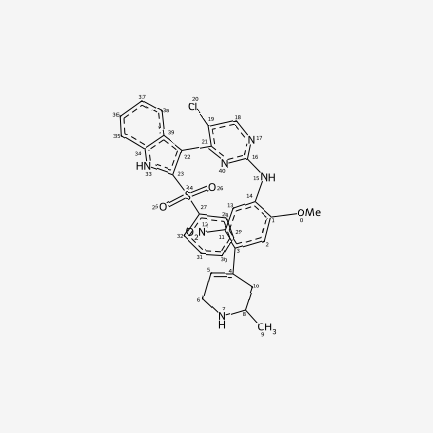 COc1cc(C2=CCNC(C)C2)c([N+](=O)[O-])cc1Nc1ncc(Cl)c(-c2c(S(=O)(=O)c3ccccc3)[nH]c3ccccc23)n1